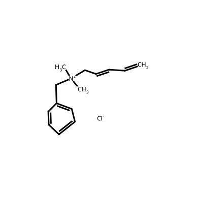 C=CC=CC[N+](C)(C)Cc1ccccc1.[Cl-]